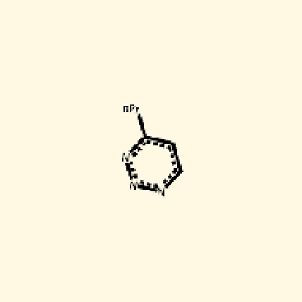 CCCc1ccnnn1